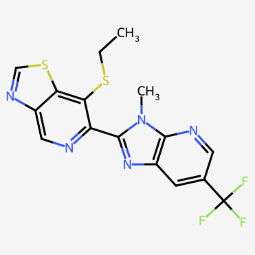 CCSc1c(-c2nc3cc(C(F)(F)F)cnc3n2C)ncc2ncsc12